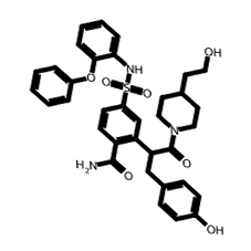 NC(=O)c1ccc(S(=O)(=O)Nc2ccccc2Oc2ccccc2)cc1C(Cc1ccc(O)cc1)C(=O)N1CCC(CCO)CC1